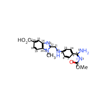 COC(=O)/N=C(/N)c1ccc(NCc2nc3cc(C(=O)O)ccc3n2C)cc1